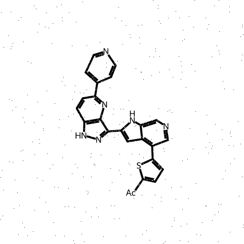 CC(=O)c1ccc(-c2cncc3[nH]c(-c4n[nH]c5ccc(-c6ccncc6)nc45)cc23)s1